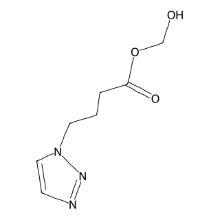 O=C(CCCn1ccnn1)OCO